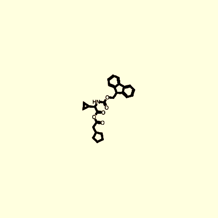 O=C(CC1CCCC1)OC(=O)C(NC(=O)OCC1c2ccccc2-c2ccccc21)C1CC1